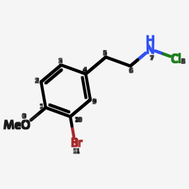 COc1ccc(CCNCl)cc1Br